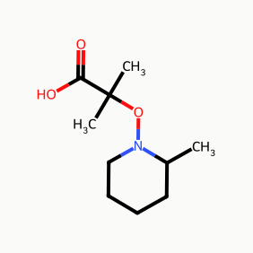 CC1CCCCN1OC(C)(C)C(=O)O